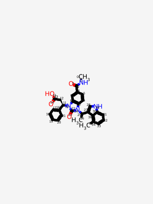 CNC(=O)c1ccc2c(c1)n([C@H](CC(=O)O)c1ccccc1)c(=O)n2C(C)c1c[nH]c2cccc(C)c12